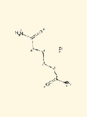 NC(=O)CCCCC(N)=O.[Zn]